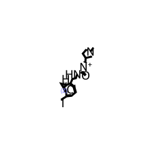 CN1CCC(C#[N+]C(=O)NCCC2=C=CC=C(CI)/C(Cl)=C3\C[C@@H]23)C1